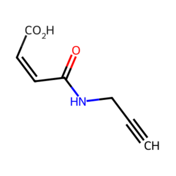 C#CCNC(=O)/C=C\C(=O)O